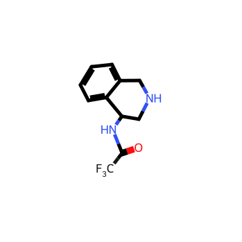 O=C(NC1CNCc2ccccc21)C(F)(F)F